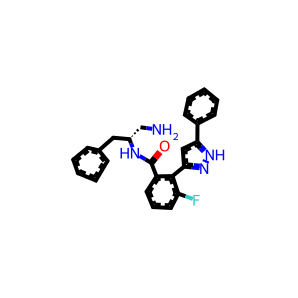 NC[C@@H](Cc1ccccc1)NC(=O)c1cccc(F)c1-c1cc(-c2ccccc2)[nH]n1